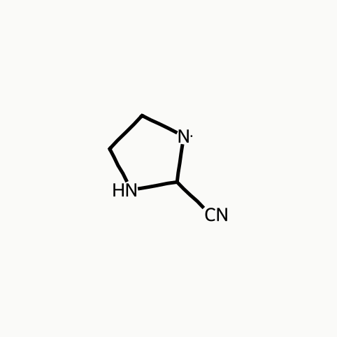 N#CC1[N]CCN1